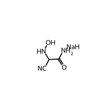 N#CC(NO)C(N)=O.[NaH]